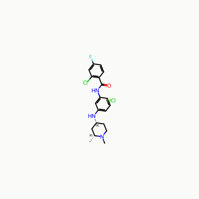 C[C@@H]1C[C@H](Nc2cccc(NC(=O)c3ccc(F)cc3Cl)c2)CCN1C.Cl